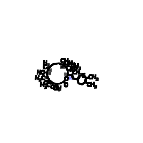 CNC1[C@@H](/C(C)=C/C2=CSC(C)=C(C)CC2)OC(=O)C[C@H](O)C(C)(C)C(=O)[C@H](C)[C@@H](O)[C@@H](C)CCC[C@@](C)(O)[C@H]1C